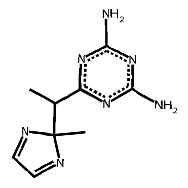 CC(c1nc(N)nc(N)n1)C1(C)N=CC=N1